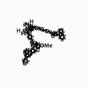 COc1ccc([C@@H](OC(=O)OCc2ccc(NC(=O)[C@H](C)NC(=O)[C@@H](NC(=O)COCCOCCOCCNC(=O)OCC3c4ccccc4-c4ccccc43)C(C)C)cc2)c2cc(-c3ncnc4cc(N5CCOCC5)ccc34)c(F)cc2Cl)nn1